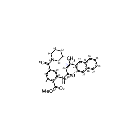 COC(=O)c1ccc(C(=O)N2CCCCC2)cc1NC(=O)/C=C(/C)c1ccc2ccccc2c1